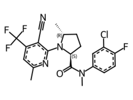 Cc1cc(C(F)(F)F)c(C#N)c(N2[C@H](C)CC[C@H]2C(=O)N(C)c2ccc(F)c(Cl)c2)n1